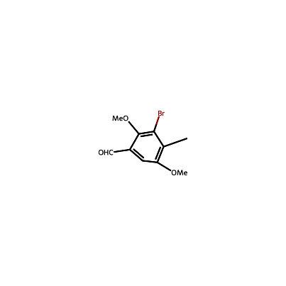 COc1cc(C=O)c(OC)c(Br)c1C